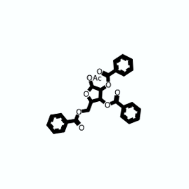 CC(=O)OC1OC(COC(=O)c2ccccc2)C(OC(=O)c2ccccc2)C1OC(=O)c1ccccc1